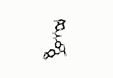 O=C(Nc1ccc2c(c1)OCC(=O)N2Cc1ccc2nonc2c1)Nc1ccc2cc[nH]c2c1